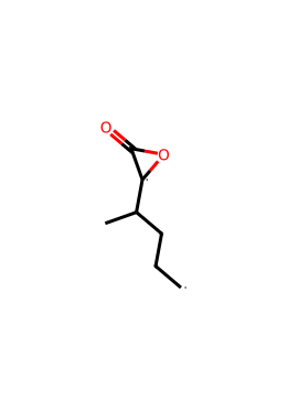 [CH2]CCC(C)[C]1OC1=O